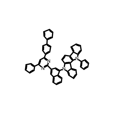 c1ccc(-c2ccc(-c3cc(-c4ccccc4)nc(-c4cc(-n5c6ccccc6c6c5ccc5c7ccccc7n(-c7ccccc7)c56)c5ccccc5c4)n3)cc2)cc1